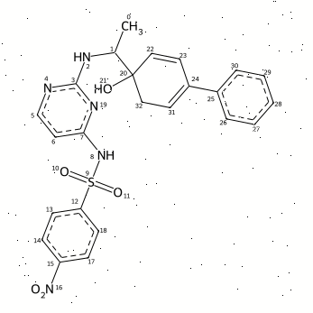 CC(Nc1nccc(NS(=O)(=O)c2ccc([N+](=O)[O-])cc2)n1)C1(O)C=CC(c2ccccc2)=CC1